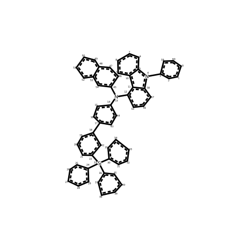 c1ccc(-n2c3ccccc3c3c(N(c4ccc(-c5cccc([Si](c6ccccc6)(c6ccccc6)c6ccccc6)c5)cc4)c4ccc5ccccc5c4)cccc32)cc1